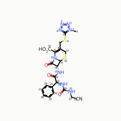 Cn1nnnc1SCC1=C(C(=O)O)N2C(=O)[C@@H](NC(=O)C(NC(=O)NCC#N)c3ccccc3)C2SC1